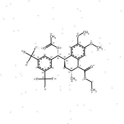 CCOC(=O)N1c2cc(OC)c(OC)cc2[C@H]([C@@H](OC(C)=O)c2cc(C(F)(F)F)cc(C(F)(F)F)c2)C[C@H]1C